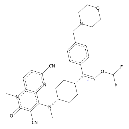 Cn1c(=O)c(C#N)c(N(C)[C@H]2CC[C@@H](/C(=N/OC(F)F)c3ccc(CN4CCOCC4)cc3)CC2)c2nc(C#N)ccc21